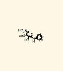 CCCC[C@H](NC(=O)O)C(O)C(=O)Nc1ccccn1